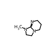 CN1CCN2CCCN=C12